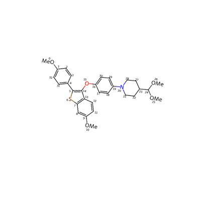 COc1ccc(-c2sc3cc(OC)ccc3c2Oc2ccc(N3CCC(C(OC)OC)CC3)cc2)cc1